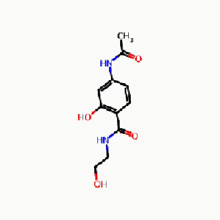 CC(=O)Nc1ccc(C(=O)NCCO)c(O)c1